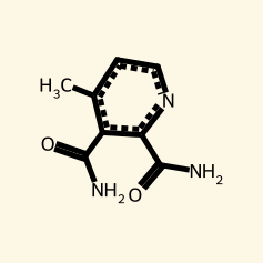 Cc1ccnc(C(N)=O)c1C(N)=O